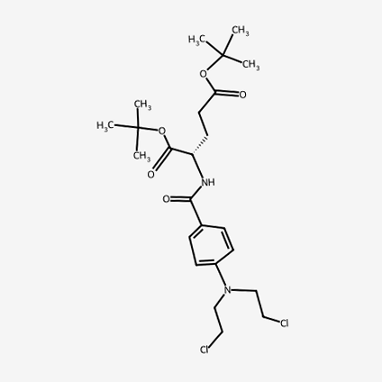 CC(C)(C)OC(=O)CC[C@H](NC(=O)c1ccc(N(CCCl)CCCl)cc1)C(=O)OC(C)(C)C